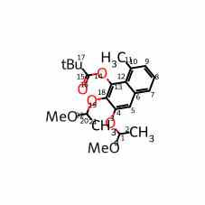 COC(C)Oc1cc2cccc(C)c2c(OC(=O)C(C)(C)C)c1OC(C)OC